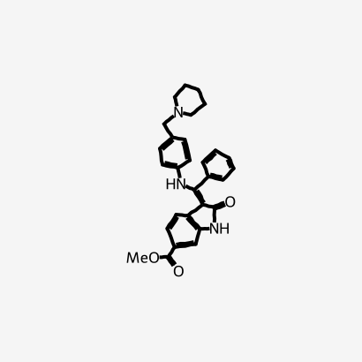 COC(=O)c1ccc2c(c1)NC(=O)C2=C(Nc1ccc(CN2CCCCC2)cc1)c1ccccc1